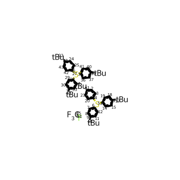 CC(C)(C)c1ccc([S+](c2ccc(C(C)(C)C)cc2)c2ccc(C(C)(C)C)cc2)cc1.CC(C)(C)c1ccc([S+](c2ccc(C(C)(C)C)cc2)c2ccc(C(C)(C)C)cc2)cc1.FC(F)(F)F